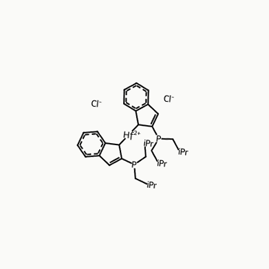 CC(C)CP(CC(C)C)C1=Cc2ccccc2[CH]1[Hf+2][CH]1C(P(CC(C)C)CC(C)C)=Cc2ccccc21.[Cl-].[Cl-]